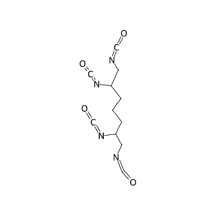 O=C=NCC(CCCC(CN=C=O)N=C=O)N=C=O